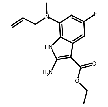 C=CCN(C)c1cc(F)cc2c(C(=O)OCC)c(N)[nH]c12